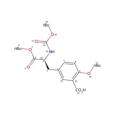 CCCCOC(=O)[C@H](Cc1ccc(OCCCC)c(C(=O)O)c1)NC(=O)OC(C)(C)C